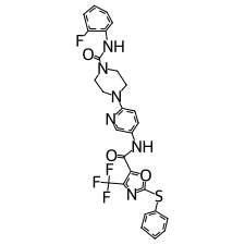 O=C(Nc1ccc(N2CCN(C(=O)Nc3ccccc3F)CC2)nc1)c1oc(Sc2ccccc2)nc1C(F)(F)F